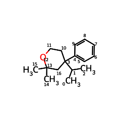 CC(C)C1(c2ccccc2)CCOC(C)(C)C1